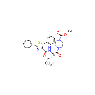 CCCCOC(=O)N1CCN(C(=O)[C@H](CCC(=O)O)NC(=O)c2nc(-c3ccccc3)sc2-c2ccccc2)CC1